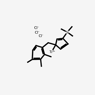 Cc1ccc(C[C]2([Ti+3])C=CC([Si](C)(C)C)=C2)c(C)c1C.[Cl-].[Cl-].[Cl-]